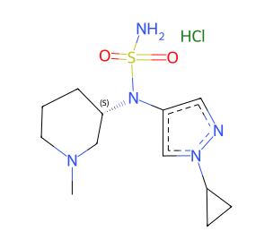 CN1CCC[C@H](N(c2cnn(C3CC3)c2)S(N)(=O)=O)C1.Cl